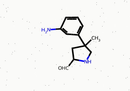 CC1(c2cccc(N)c2)CNC(C=O)C1